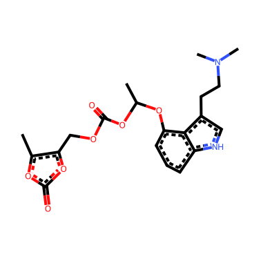 Cc1oc(=O)oc1COC(=O)OC(C)Oc1cccc2[nH]cc(CCN(C)C)c12